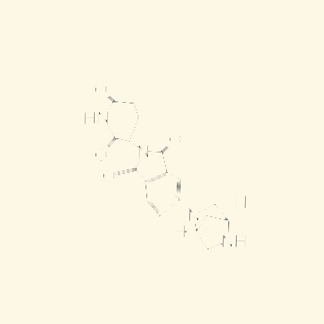 O=C1CCC(N2C(=O)c3ccc(N4C[C@@H]5C[C@H]4CN5)cc3C2=O)C(=O)N1